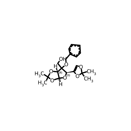 CC1(C)OC=C([C@H]2O[C@@H]3OC(C)(C)O[C@@H]3C2(CO)OCc2ccccc2)O1